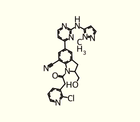 Cn1nccc1Nc1nccc(-c2cc(C#N)c3c(c2)CC(CO)N3C(=O)Cc2cccnc2Cl)n1